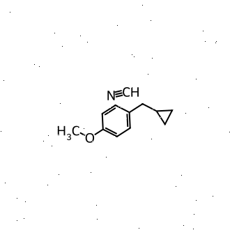 C#N.COc1ccc(CC2CC2)cc1